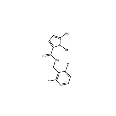 [C-]#[N+]c1ccc(C(=O)NCc2c(F)cccc2Cl)n1CC